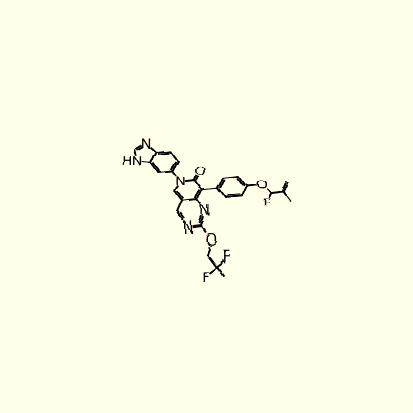 C=C(C)C(F)Oc1ccc(-c2c(=O)n(-c3ccc4nc[nH]c4c3)cc3cnc(OCC(C)(F)F)nc23)cc1